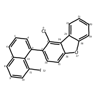 Clc1c(-c2cccc3cccc(I)c23)ccc2oc3ccccc3c12